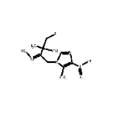 Cc1c([N+](=O)[O-])ncn1C/C(=N/O)C(C)(C)CF